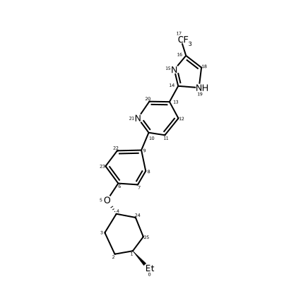 CC[C@H]1CC[C@H](Oc2ccc(-c3ccc(-c4nc(C(F)(F)F)c[nH]4)cn3)cc2)CC1